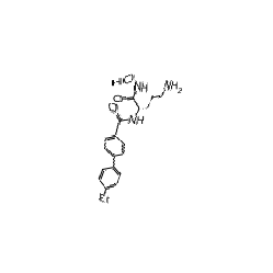 CCc1ccc(-c2ccc(C(=O)N[C@@H](CCCN)C(=O)NO)cc2)cc1